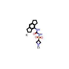 CCN1CC(S(=O)(=O)NC(=O)Nc2c3c(cc4c2CCC4)CCC3)C1.[K]